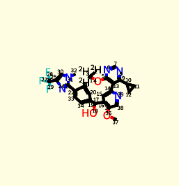 [2H]C([2H])([2H])Oc1ncnc(C2CC2)c1-c1cc(C(O)c2ccc(-c3nc(C(F)(F)F)cn3C)cc2)c(OC)cn1